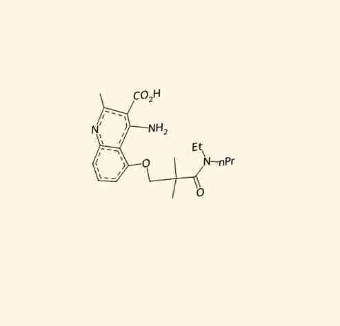 CCCN(CC)C(=O)C(C)(C)COc1cccc2nc(C)c(C(=O)O)c(N)c12